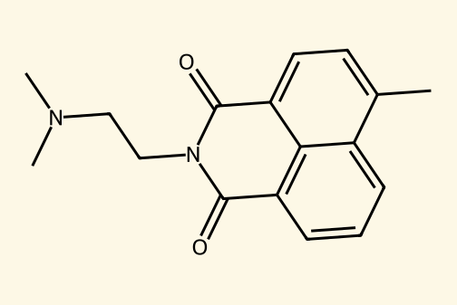 Cc1ccc2c3c(cccc13)C(=O)N(CCN(C)C)C2=O